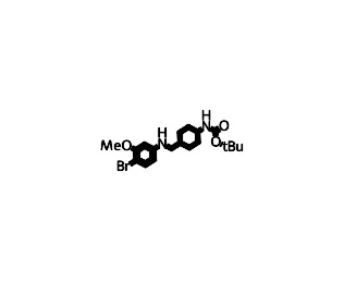 COc1cc(NCC2CCC(NC(=O)OC(C)(C)C)CC2)ccc1Br